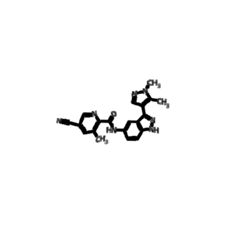 Cc1cc(C#N)cnc1C(=O)Nc1ccc2[nH]nc(-c3cnn(C)c3C)c2c1